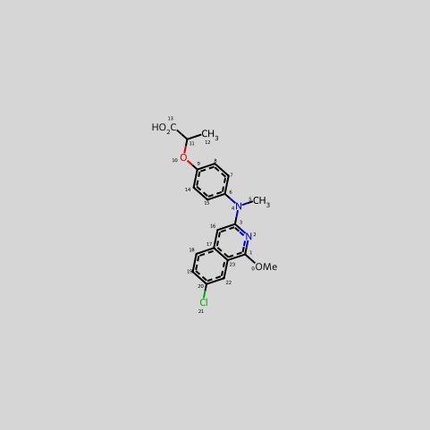 COc1nc(N(C)c2ccc(OC(C)C(=O)O)cc2)cc2ccc(Cl)cc12